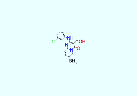 Bc1ccc2nc(Nc3cccc(Cl)c3)c(CO)c(=O)n2c1